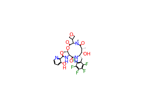 C[C@H]1OC(=O)C(C2COC2)N(C)C(=O)[C@H](C)[C@H](O)[C@H](Cc2c(F)c(F)c(F)c(F)c2F)NC(=O)[C@H]1NC(=O)c1ncccc1O